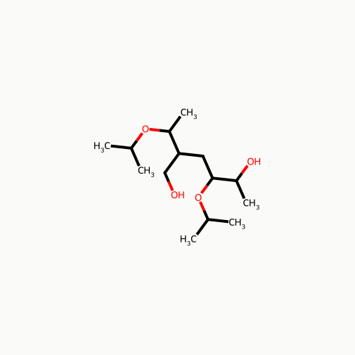 CC(C)OC(C)C(CO)CC(OC(C)C)C(C)O